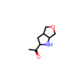 CC(=O)C1CC2COCC2N1